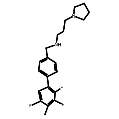 Cc1c(F)cc(-c2ccc(CNCCCN3CCCC3)cc2)c(F)c1F